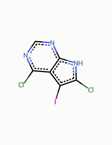 Clc1[nH]c2ncnc(Cl)c2c1I